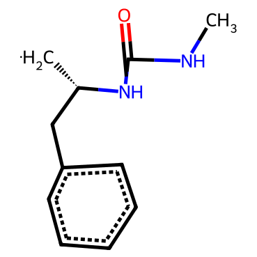 [CH2][C@@H](Cc1ccccc1)NC(=O)NC